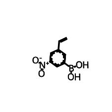 C=Cc1cc(B(O)O)cc([N+](=O)[O-])c1